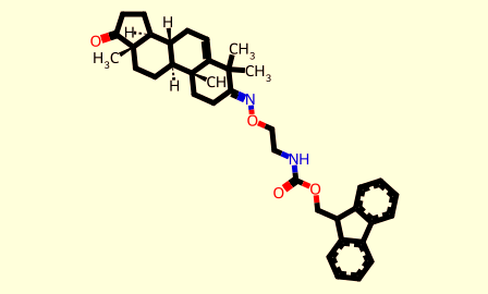 CC1(C)C2=CC[C@@H]3[C@H](CC[C@]4(C)C(=O)CC[C@@H]34)[C@@]2(C)CCC1=NOCCNC(=O)OCC1c2ccccc2-c2ccccc21